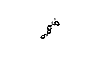 Fc1cccc(CNc2ccc3cc(NCc4ccccc4)ccc3n2)c1